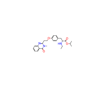 CCNC(Cc1ccc(OCCc2nc3ccccc3c(=O)n2C)cc1)C(=O)OC(C)C